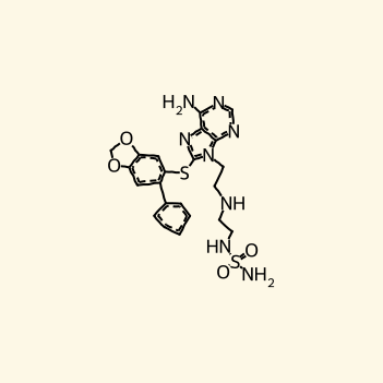 Nc1ncnc2c1nc(Sc1cc3c(cc1-c1ccccc1)OCO3)n2CCNCCNS(N)(=O)=O